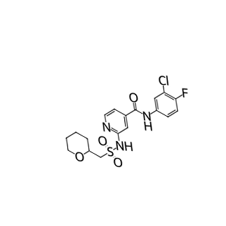 O=C(Nc1ccc(F)c(Cl)c1)c1ccnc(NS(=O)(=O)CC2CCCCO2)c1